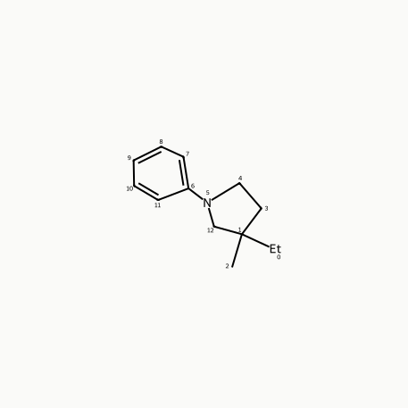 CCC1(C)CCN(c2ccccc2)C1